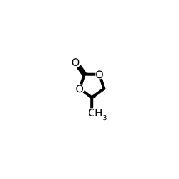 C[C]1COC(=O)O1